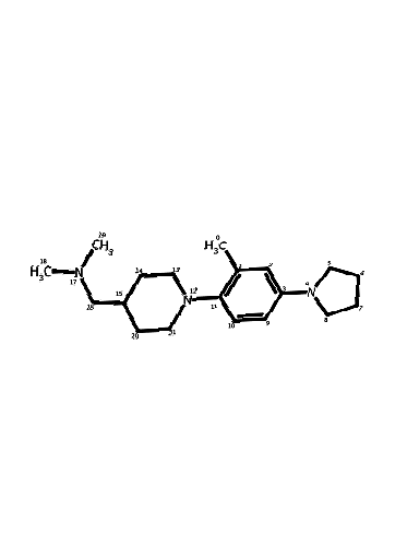 Cc1cc(N2CCCC2)ccc1N1CCC(CN(C)C)CC1